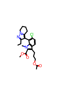 CCc1nn2c(c1-c1c(Cl)ccc3c(CCCOC(C)=O)c(C(=O)OC)n(C)c13)CCCC2